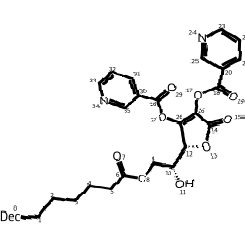 CCCCCCCCCCCCCCCC(=O)OC[C@@H](O)[C@H]1OC(=O)C(OC(=O)c2cccnc2)=C1OC(=O)c1cccnc1